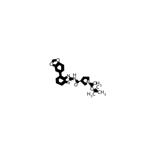 CC(C)(C)OC(=O)N1CC[C@H](C(=O)Nc2nc3c(-c4ccc5c(c4)OCO5)cccc3s2)C1